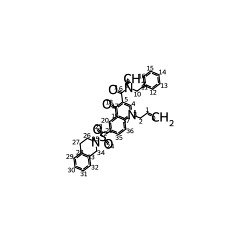 C=CCn1cc(C(=O)N(C)Cc2ccccc2)c(=O)c2cc(S(=O)(=O)N3CCc4ccccc4C3)ccc21